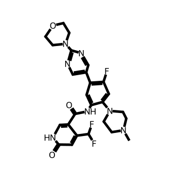 CN1CCN(c2cc(F)c(-c3cnc(N4CCOCC4)nc3)cc2NC(=O)c2c[nH]c(=O)cc2C(F)F)CC1